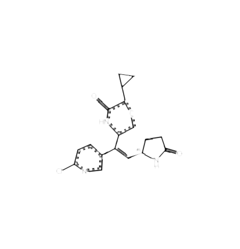 O=C1CC[C@H](C=C(c2ccc(Cl)nc2)c2ccc(C3CC3)c(=O)[nH]2)N1